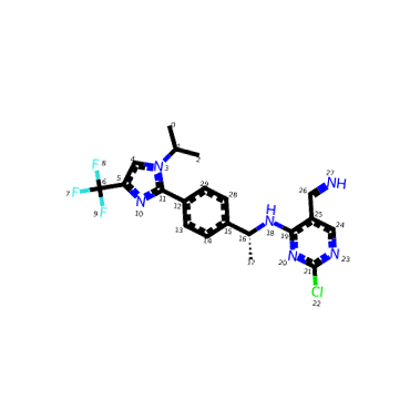 CC(C)n1cc(C(F)(F)F)nc1-c1ccc([C@@H](C)Nc2nc(Cl)ncc2C=N)cc1